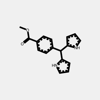 COC(=O)c1ccc(C(c2ccc[nH]2)c2ccc[nH]2)cc1